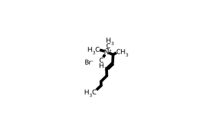 CCCC/C=C/C(C)[N+](C)(C)C.[Br-]